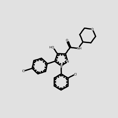 O=C(NC1CCOCC1)c1nn(-c2ccccc2Cl)c(-c2ccc(Cl)cc2)c1O